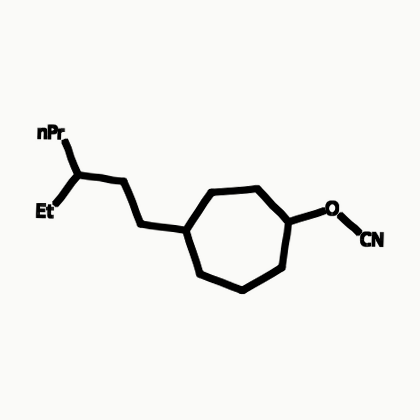 CCCC(CC)CCC1CCCC(OC#N)CC1